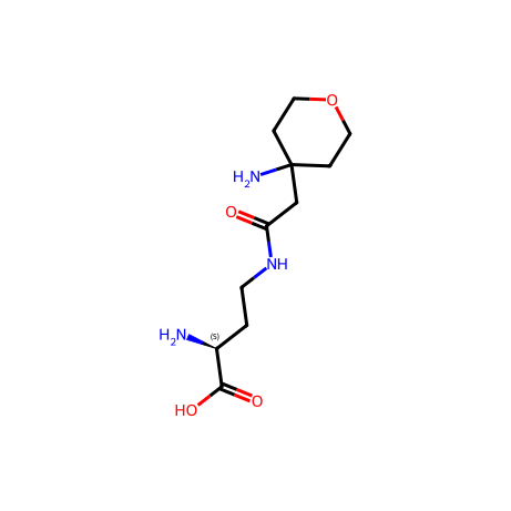 N[C@@H](CCNC(=O)CC1(N)CCOCC1)C(=O)O